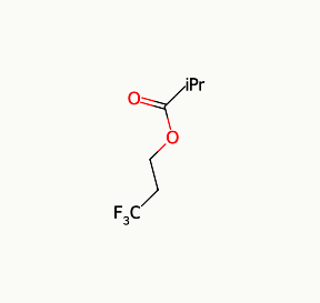 CC(C)C(=O)OCCC(F)(F)F